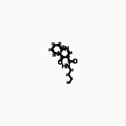 CCCCNC(=O)c1cnc2ccccn2c1=O